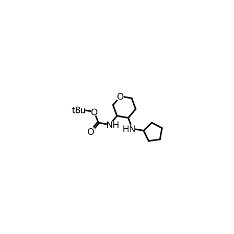 CC(C)(C)OC(=O)NC1COCCC1NC1CCCC1